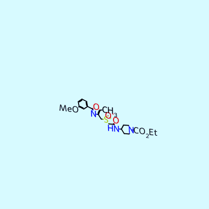 CCOC(=O)N1CCC(NC(=O)C[S+]([O-])Cc2nc(-c3cccc(OC)c3)oc2C)CC1